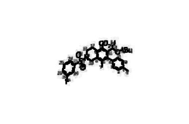 Cc1ccc(-c2c(C)c3c(c(C)c2[C@H](OC(C)(C)C)C(=O)O)CCN(S(=O)(=O)c2cccc(F)c2)C3)cc1